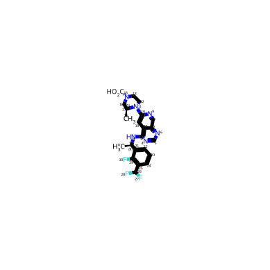 C[C@@H](Nc1ncnc2cnc(N3CCN(C(=O)O)C[C@@H]3C)cc12)c1cccc(C(F)F)c1F